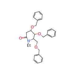 CCN1C(=O)CC(OCc2ccccc2)C(OCc2ccccc2)C1COCc1ccccc1